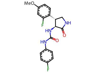 COc1ccc([C@@H]2CNC(=O)[C@H]2NC(=O)Nc2ccc(F)cc2)c(F)c1